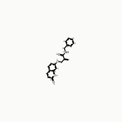 C=C(COc1ccc2ccc(=O)oc2c1)C(=O)NCc1ccccc1